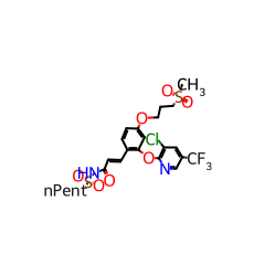 CCCCCS(=O)(=O)NC(=O)C=Cc1ccc(OCCCS(C)(=O)=O)cc1Oc1ncc(C(F)(F)F)cc1Cl